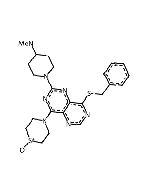 CNC1CCN(c2nc(N3CC[S+]([O-])CC3)c3ncnc(SCc4ccccc4)c3n2)CC1